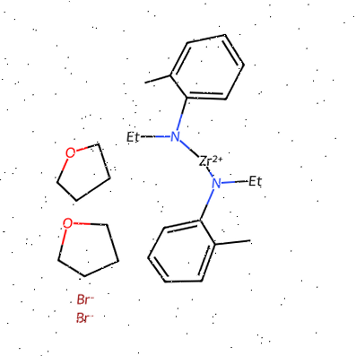 C1CCOC1.C1CCOC1.CC[N]([Zr+2][N](CC)c1ccccc1C)c1ccccc1C.[Br-].[Br-]